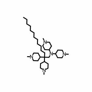 CCCCCCCCCCCCC(CN(C1CCN(C)CC1)C1CCN(C)CC1)(C1CCN(C)CC1)C1CCN(C)CC1